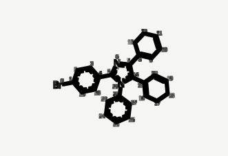 Brc1ccc(-c2nc(C3=CC=CCC3)c(C3=CCCC=C3)n2-c2ccccc2)cc1